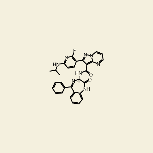 CC(C)Nc1ccc(-c2nn3cccnc3c2C(=O)N[C@H]2N=C(c3ccccc3)c3ccccc3NC2=O)c(F)n1